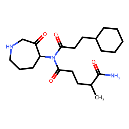 CC(C[CH]C(=O)N(C(=O)CCC1CCCCC1)[C@H]1CCCNCC1=O)C(N)=O